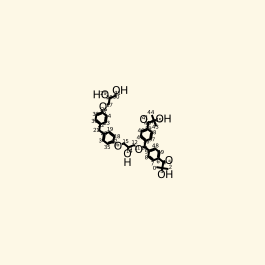 CC(C)(O)C(=O)c1ccc(C(OCC(O)COc2ccc(Cc3ccc(OCC(O)CO)cc3)cc2)c2ccc(C(=O)C(C)(C)O)cc2)cc1